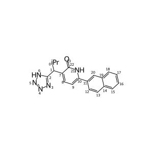 CC(C)C(c1nnn[nH]1)c1ccc(-c2ccc3ccccc3c2)[nH]c1=O